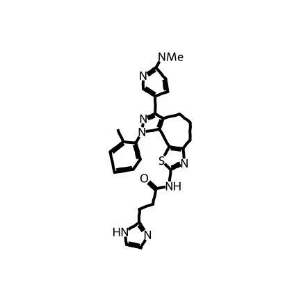 CNc1ccc(-c2nn(-c3ccccc3C)c3c2CCCc2nc(NC(=O)CCc4ncc[nH]4)sc2-3)cn1